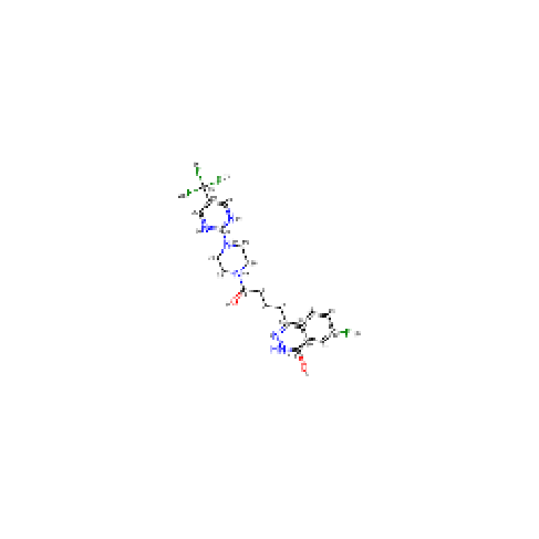 O=C(CCCc1n[nH]c(=O)c2cc(F)ccc12)N1CCN(c2ncc(C(F)(F)F)cn2)CC1